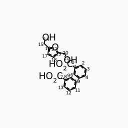 O=C(O)c1ccccc1.O=C(O)c1ccccc1.OCc1ccc(CO)o1